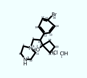 Cl.Cl.OC1(C(CN2CCNCC2)c2ccc(Br)cc2)CCC1